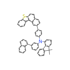 CC1(C)c2ccccc2-c2c(N(c3ccc(-c4ccc5ccc6sc7ccccc7c6c5c4)cc3)c3cccc(-c4cccc5ccccc45)c3)cccc21